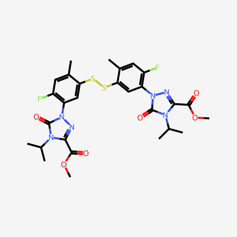 COC(=O)c1nn(-c2cc(SSc3cc(-n4nc(C(=O)OC)n(C(C)C)c4=O)c(F)cc3C)c(C)cc2F)c(=O)n1C(C)C